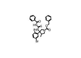 CC1CN(C(=O)OCc2ccccc2)CC1(NC(=S)NC(=O)c1ccccc1)c1cc(Br)ccc1F